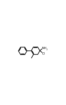 CC1=C(c2ccccc2)C=CC(N)(Cl)C1